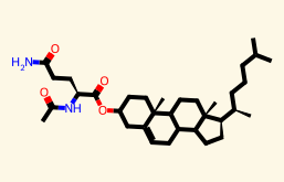 CC(=O)N[C@@H](CCC(N)=O)C(=O)OC1CC[C@@]2(C)C(=CCC3C2CC[C@@]2(C)C3CC[C@@H]2[C@H](C)CCCC(C)C)C1